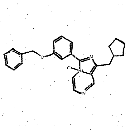 Cl[N+]12C=CN=CC1=C(CC1CCCC1)N=C2c1cccc(OCc2ccccc2)c1